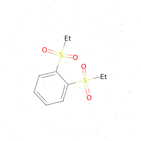 CCS(=O)(=O)c1ccccc1S(=O)(=O)CC